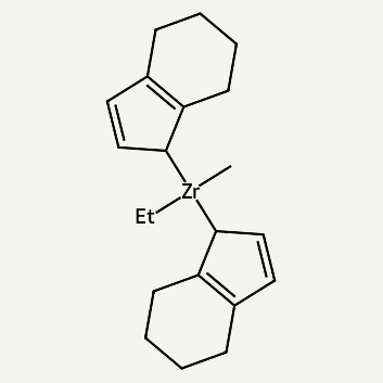 [CH2][CH2][Zr]([CH3])([CH]1C=CC2=C1CCCC2)[CH]1C=CC2=C1CCCC2